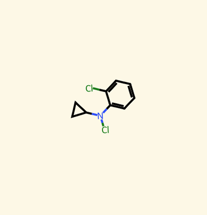 Clc1ccccc1N(Cl)C1CC1